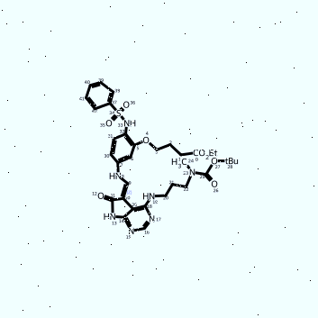 CCOC(=O)CCCOc1cc(N/C=C2\C(=O)Nc3ncnc(NCCCN(C)C(=O)OC(C)(C)C)c32)ccc1NS(=O)(=O)c1ccccc1